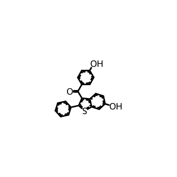 O=C(c1ccc(O)cc1)c1c(-c2ccccc2)sc2cc(O)ccc12